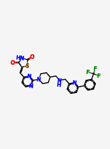 O=C1NC(=O)C(=Cc2ccnc(N3CCC(CNCc4cccc(-c5cccc(C(F)(F)F)c5)n4)CC3)n2)S1